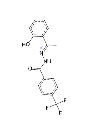 C/C(=N\NC(=O)c1ccc(C(F)(F)F)cc1)c1ccccc1O